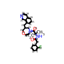 CC(C)(NC(=O)Cc1ccccc1F)C(=O)N1CCOCC(Cc2cccc3ccncc23)C1